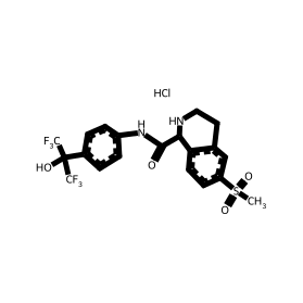 CS(=O)(=O)c1ccc2c(c1)CCNC2C(=O)Nc1ccc(C(O)(C(F)(F)F)C(F)(F)F)cc1.Cl